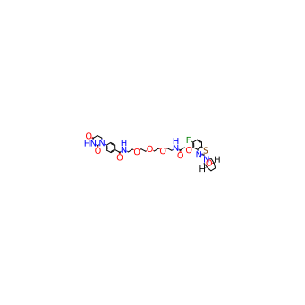 O=C(COc1c(F)ccc2sc(N3C[C@H]4CC[C@@H](C3)O4)nc12)NCCOCCOCCOCCNC(=O)c1ccc(N2CCC(=O)NC2=O)cc1